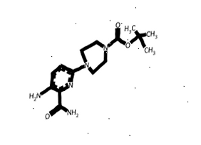 CC(C)(C)OC(=O)N1CCN(c2ccc(N)c(C(N)=O)n2)CC1